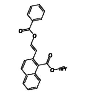 CCCOC(=O)c1c(C=COC(=O)c2ccccc2)ccc2ccccc12